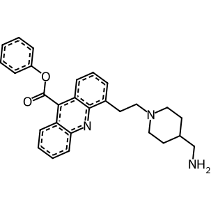 NCC1CCN(CCc2cccc3c(C(=O)Oc4ccccc4)c4ccccc4nc23)CC1